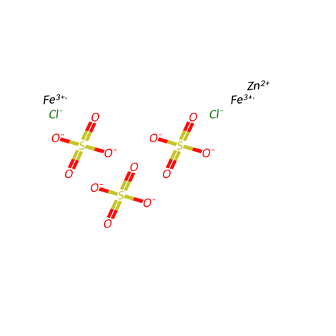 O=S(=O)([O-])[O-].O=S(=O)([O-])[O-].O=S(=O)([O-])[O-].[Cl-].[Cl-].[Fe+3].[Fe+3].[Zn+2]